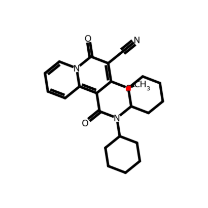 CSc1c(C#N)c(=O)n2ccccc2c1C(=O)N(C1CCCCC1)C1CCCCC1